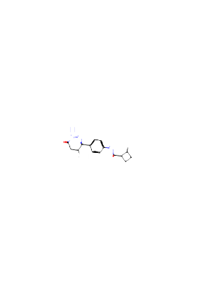 CC1CC(=O)NN=C1c1ccc(NC(=O)C2CCC2C)cc1